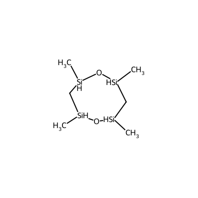 C[SiH]1C[SiH](C)O[SiH](C)C[SiH](C)O1